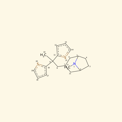 CN1C2CCC1CC(CC(C)(c1cccs1)c1cccs1)C2